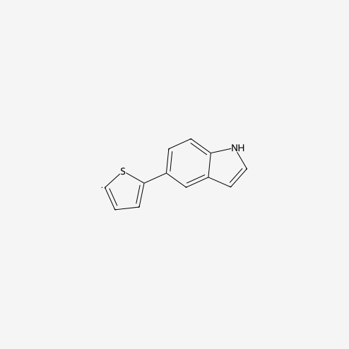 [c]1ccc(-c2ccc3[nH]ccc3c2)s1